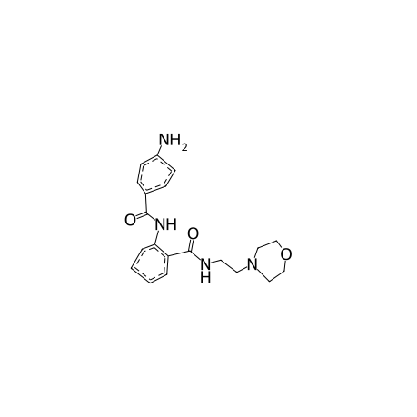 Nc1ccc(C(=O)Nc2ccccc2C(=O)NCCN2CCOCC2)cc1